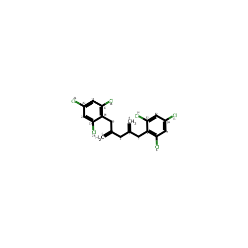 C=C(CC(=C)Cc1c(Cl)cc(Cl)cc1Cl)Cc1c(Cl)cc(Cl)cc1Cl